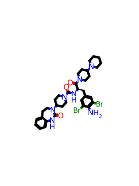 Nc1c(Br)cc(C[C@@H](NC(=O)N2CCC(N3CCc4ccccc4NC3=O)CC2)C(=O)N2CCC(N3CCCCC3)CC2)cc1Br